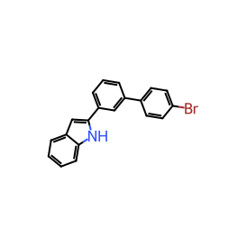 Brc1ccc(-c2cccc(-c3cc4ccccc4[nH]3)c2)cc1